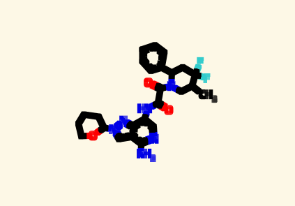 CC1CN(C(=O)C(=O)Nc2cnc(N)c3cn(C4CCCCO4)nc23)C(c2ccccc2)CC1(F)F